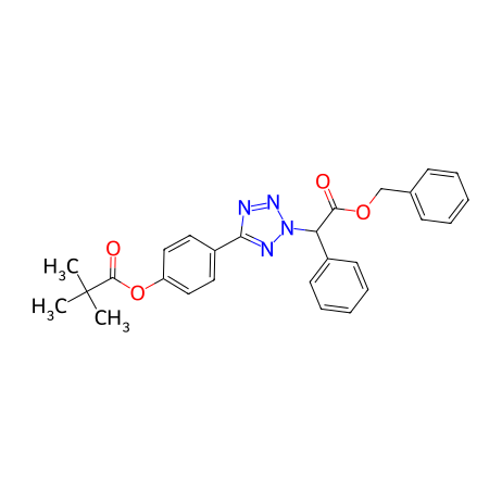 CC(C)(C)C(=O)Oc1ccc(-c2nnn(C(C(=O)OCc3ccccc3)c3ccccc3)n2)cc1